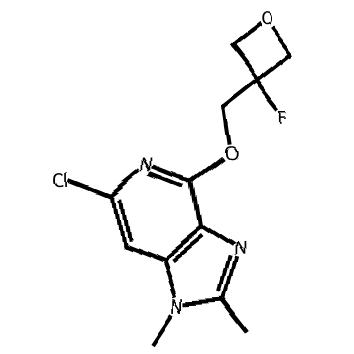 Cc1nc2c(OCC3(F)COC3)nc(Cl)cc2n1C